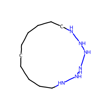 C1CCCCCNNNNNNCCCC1